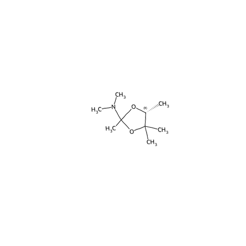 C[C@H]1OC(C)(N(C)C)OC1(C)C